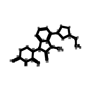 CO[C@@H]1CCN(c2cccc3c2n(C)c(=O)n3C2CCC(=O)NC2=O)C1